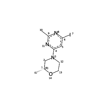 [CH2][C@@H]1CN(c2cc(I)nc(C)n2)CCO1